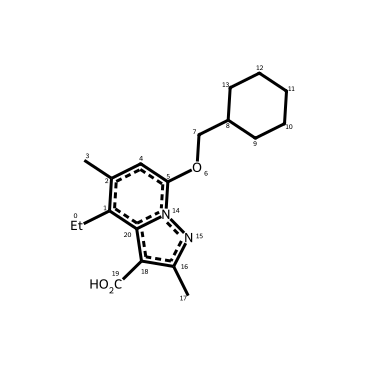 CCc1c(C)cc(OCC2CCCCC2)n2nc(C)c(C(=O)O)c12